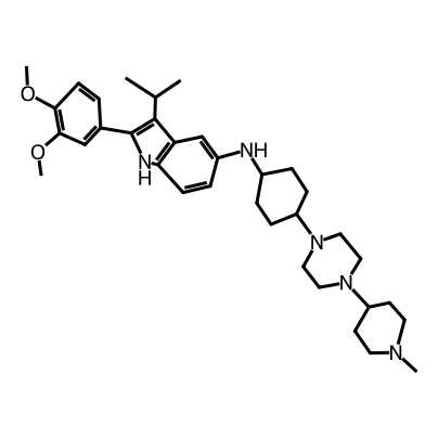 COc1ccc(-c2[nH]c3ccc(NC4CCC(N5CCN(C6CCN(C)CC6)CC5)CC4)cc3c2C(C)C)cc1OC